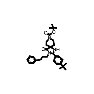 CC(C)(C)OC(=O)N1CCC2(CC1)NC(c1ccc(C(C)(C)C)cc1)N(CCCc1ccccc1)C2=O